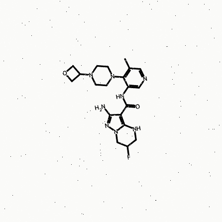 Cc1cncc(NC(=O)c2c(N)nn3c2NCC(F)C3)c1N1CCN(C2COC2)CC1